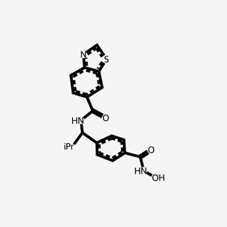 CC(C)C(NC(=O)c1ccc2ncsc2c1)c1ccc(C(=O)NO)cc1